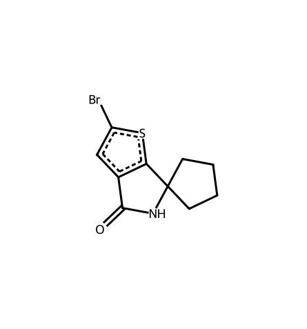 O=C1NC2(CCCC2)c2sc(Br)cc21